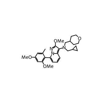 COc1cc(C)c(-c2cccc3c(N(CC4CCOCC4)CC4CC4)c(OC)nn23)c(OC)c1